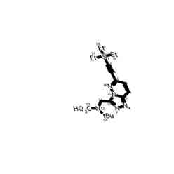 CC[Si](C#Cc1ccc2nnc(CN(C(=O)O)C(C)(C)C)n2n1)(CC)CC